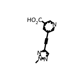 Cn1ncc(C#Cc2cncc(C(=O)O)c2)n1